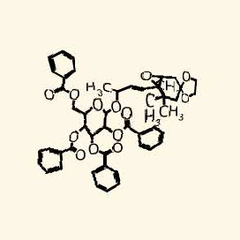 CC(/C=C/C12OC1(C)CC1(CC2(C)C)OCCO1)OC1OC(COC(=O)c2ccccc2)C(OC(=O)c2ccccc2)C(OC(=O)c2ccccc2)C1OC(=O)c1ccccc1